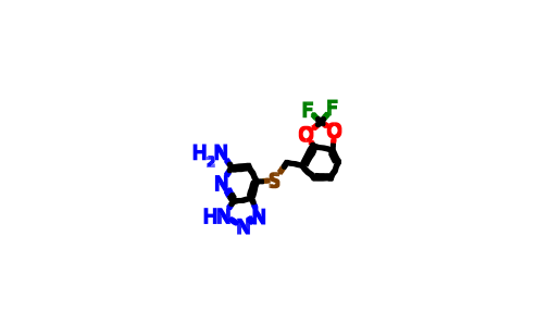 Nc1cc(SCc2cccc3c2OC(F)(F)O3)c2nn[nH]c2n1